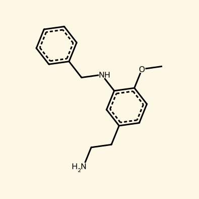 COc1ccc(CCN)cc1NCc1ccccc1